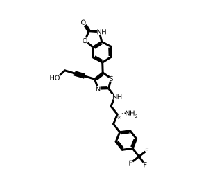 N[C@@H](CNc1nc(C#CCO)c(-c2ccc3[nH]c(=O)oc3c2)s1)Cc1ccc(C(F)(F)F)cc1